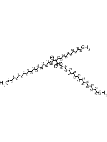 CCCCCCCCCCCCCCCCCCOC(=O)C(CCCCCCCCCCC)C(=O)OCCCCCCCCCCCCCCCCCC